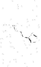 O=CNCCCc1cscn1